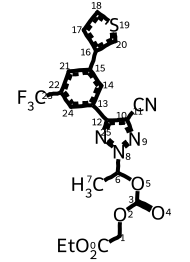 CCOC(=O)COC(=O)OC(C)n1nc(C#N)c(-c2cc(-c3ccsc3)cc(C(F)(F)F)c2)n1